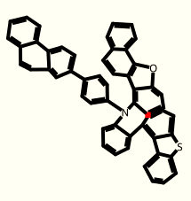 c1ccc(N(c2ccc(-c3ccc4c(ccc5ccccc54)c3)cc2)c2cccc3oc4c5ccccc5ccc4c23)c(-c2cccc3sc4ccccc4c23)c1